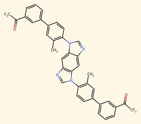 Cc1cc(-c2cccc(C(=O)C(F)(F)F)c2)ccc1-n1cnc2cc3c(cc21)ncn3-c1ccc(-c2cccc(C(=O)C(F)(F)F)c2)cc1C